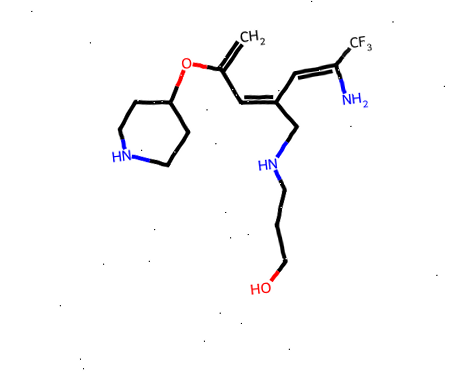 C=C(/C=C(\C=C(/N)C(F)(F)F)CNCCCO)OC1CCNCC1